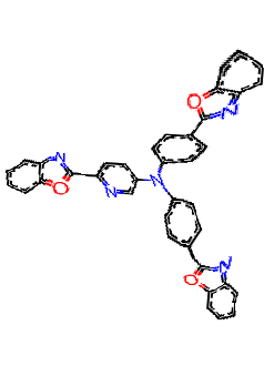 c1ccc2oc(-c3ccc(N(c4ccc(-c5nc6ccccc6o5)cc4)c4ccc(-c5nc6ccccc6o5)nc4)cc3)nc2c1